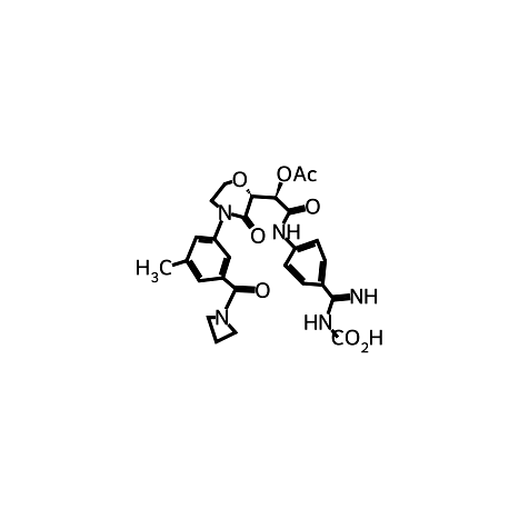 CC(=O)O[C@@H](C(=O)Nc1ccc(C(=N)NC(=O)O)cc1)[C@H]1OCCN(c2cc(C)cc(C(=O)N3CCC3)c2)C1=O